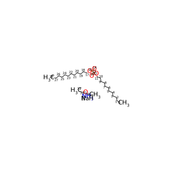 CCCCCCCCCCCCOS(=O)(=O)OCCCCCCCCCCCC.CCOCC.N.[NaH]